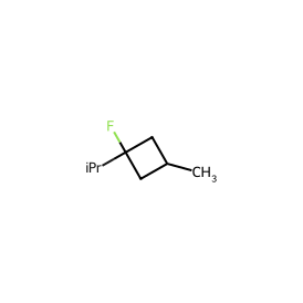 CC1CC(F)(C(C)C)C1